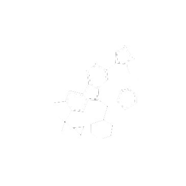 Cn1nncc1-c1cnc2c3cc(F)c(C(C)(O)C4CC4)cc3n([C@H](c3ccccc3)C3CCOCC3)c2c1